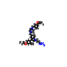 CCc1cc(OC(F)(F)F)ccc1-c1cn(CCCN)c2ccc(CN3CCN(Cc4cccc(OC(F)(F)F)c4)CC3)cc12